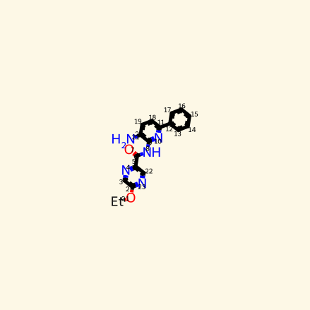 CCOc1cnc(C(=O)Nc2nc(-c3ccccc3)ccc2N)cn1